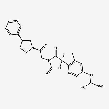 CNC(O)Nc1cnc2c(c1)CC[C@@]21OC(=O)N(CC(=O)N2CC[C@@H](c3ccccc3)C2)C1=O